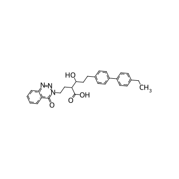 CCc1ccc(-c2ccc(CCC(O)C(CCn3nnc4ccccc4c3=O)C(=O)O)cc2)cc1